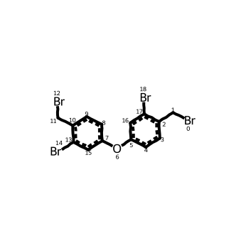 BrCc1ccc(Oc2ccc(CBr)c(Br)c2)cc1Br